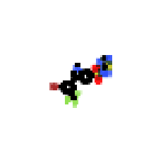 Cn1cc(-c2cc(Br)cc(C(F)(F)F)c2)c2ccc(S(=O)(=O)Nc3ncns3)cc21